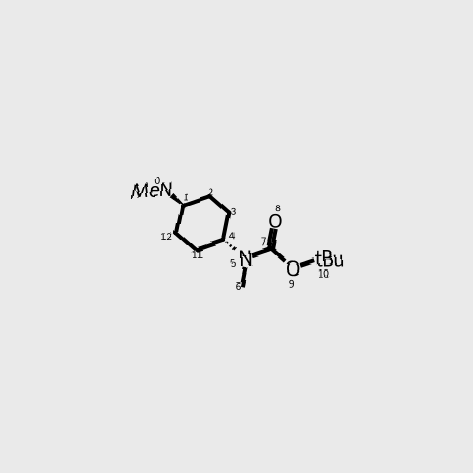 CN[C@H]1CC[C@H](N(C)C(=O)OC(C)(C)C)CC1